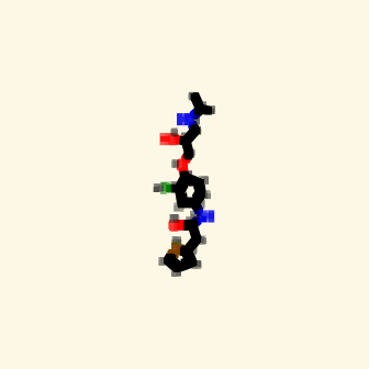 CC(C)NCC(O)COc1ccc(NC(=O)Cc2cccs2)cc1F